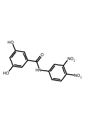 O=C(Nc1ccc([N+](=O)[O-])c([N+](=O)[O-])c1)c1cc(O)cc(O)c1